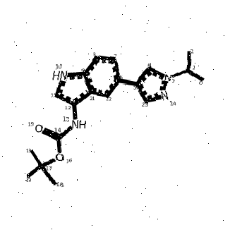 CC(C)n1cc(-c2ccc3[nH]cc(NC(=O)OC(C)(C)C)c3c2)cn1